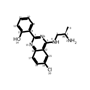 C[C@@H](N)CNc1nc(-c2ccccc2O)nc2ccc(Cl)cc12